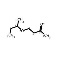 CCC(C)OCCC(C)=O